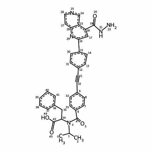 CC(C)N(C(=O)c1ccc(C#Cc2ccc(-c3cc(C(=O)NN)c4cnccc4n3)cc2)cc1)C(Cc1ccccc1)C(=O)O